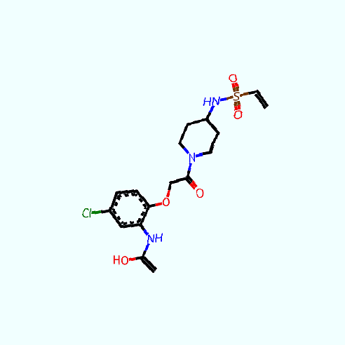 C=CS(=O)(=O)NC1CCN(C(=O)COc2ccc(Cl)cc2NC(=C)O)CC1